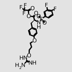 N=C(N)NOCCCOc1ccc(C[C@H](NS(=O)(=O)c2ccc(F)c(F)c2)C(=O)OC(=O)C(F)(F)F)cc1